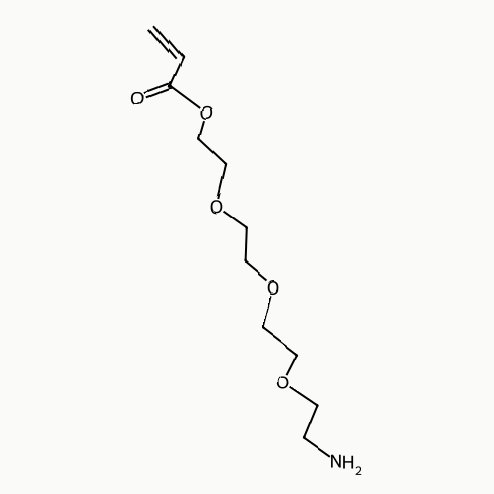 C=CC(=O)OCCOCCOCCOCCN